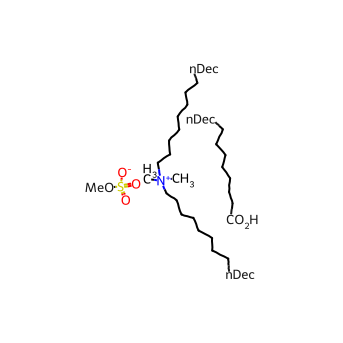 CCCCCCCCCCCCCCCCCC(=O)O.CCCCCCCCCCCCCCCCCC[N+](C)(C)CCCCCCCCCCCCCCCCCC.COS(=O)(=O)[O-]